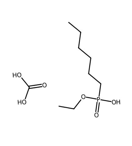 CCCCCCP(=O)(O)OCC.O=C(O)O